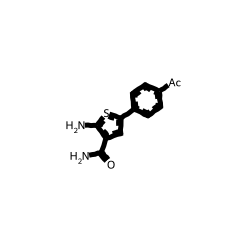 CC(=O)c1ccc(-c2cc(C(N)=O)c(N)s2)cc1